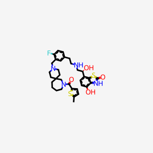 Cc1ccc(C(=O)N2CCCCC3(CCN(Cc4cc(CCNC[C@H](O)c5ccc(O)c6[nH]c(=O)sc56)ccc4F)CC3)C2)s1